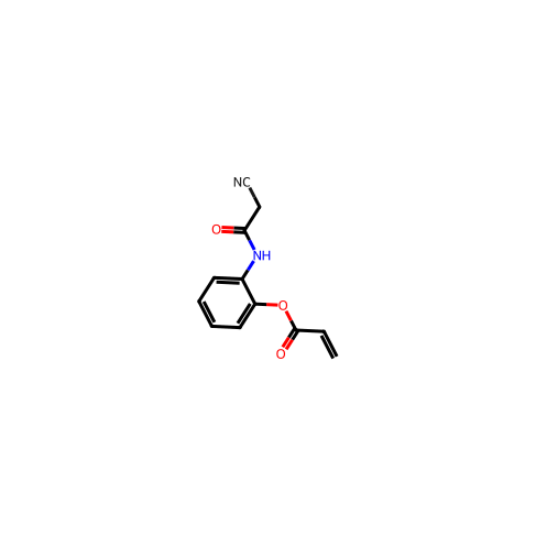 C=CC(=O)Oc1ccccc1NC(=O)CC#N